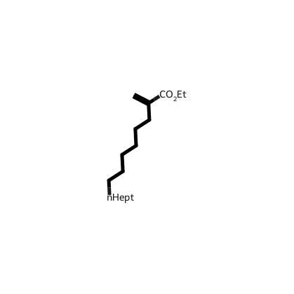 C=C(CCCCCCCCCCCCC)C(=O)OCC